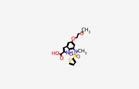 COCCOc1cc(N(C)S(=O)(=O)c2cccs2)c2[nH]c(C(=O)O)cc2c1